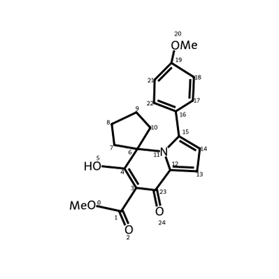 COC(=O)C1=C(O)C2(CCCC2)n2c(ccc2-c2ccc(OC)cc2)C1=O